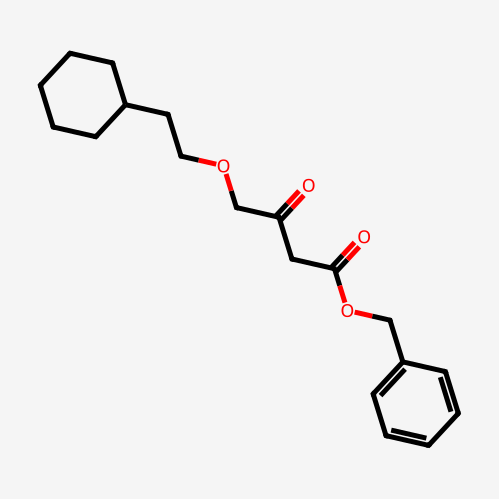 O=C(COCCC1CCCCC1)CC(=O)OCc1ccccc1